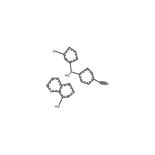 N#Cc1ccc(B(O)c2cccc(Cl)c2)cc1.Oc1cccc2cccnc12